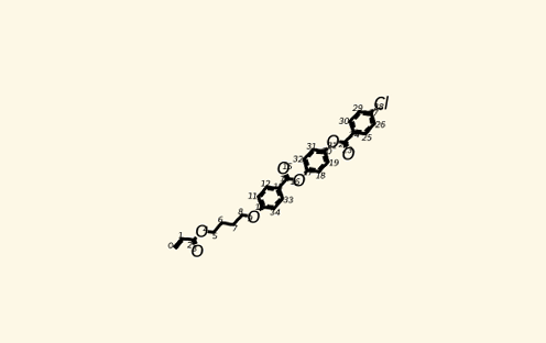 C=CC(=O)OCCCCOc1ccc(C(=O)Oc2ccc(OC(=O)c3ccc(Cl)cc3)cc2)cc1